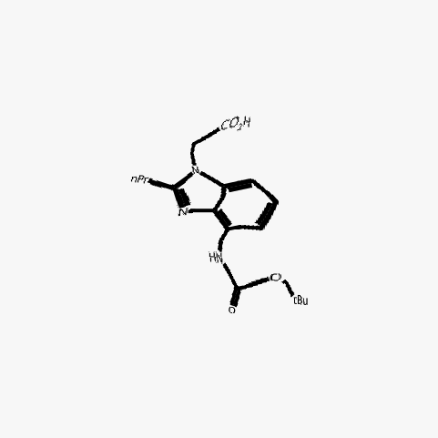 CCCc1nc2c(NC(=O)OC(C)(C)C)cccc2n1CC(=O)O